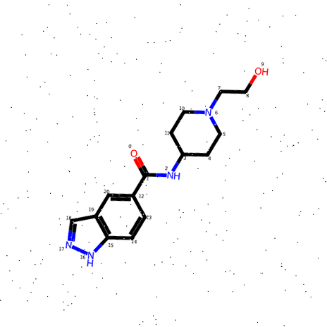 O=C(NC1CCN(CCO)CC1)c1ccc2[nH]ncc2c1